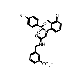 Cc1c(Cl)cccc1N(CC(=O)NCc1cccc(C(=O)O)c1)S(=O)(=O)c1ccc(C#N)cc1